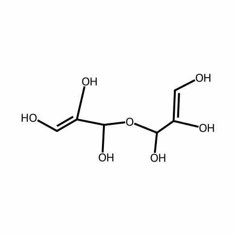 OC=C(O)C(O)OC(O)C(O)=CO